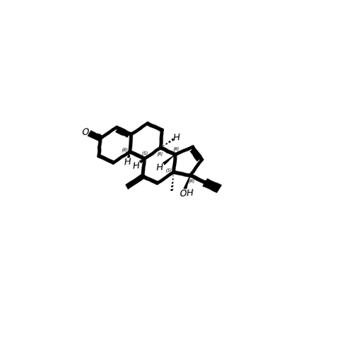 C#C[C@@]1(O)C=C[C@H]2[C@@H]3CCC4=CC(=O)CC[C@@H]4[C@H]3C(=C)C[C@@]21C